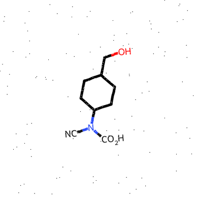 N#CN(C(=O)O)C1CCC(CO)CC1